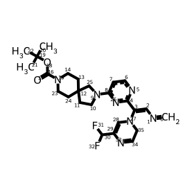 C=N/C=C(/c1nccc(N2CCC3(CCN(C(=O)OC(C)(C)C)CC3)C2)n1)N1C=C(C(F)F)N=CC1